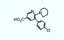 O=C(O)c1cnc(N2CCCCC2)c(-c2ccc(Cl)cc2)c1